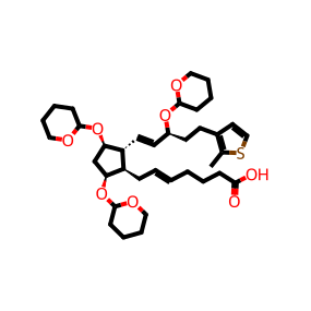 Cc1sccc1CC[C@@H](C=C[C@@H]1[C@@H](CC=CCCCC(=O)O)[C@@H](OC2CCCCO2)C[C@H]1OC1CCCCO1)OC1CCCCO1